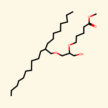 CCCCCCCCCCC(CCCCCCCC)COCC(CO)OCCCCC(=O)OC